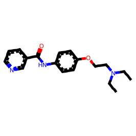 CCN(CC)CCOc1ccc(NC(=O)c2cccnc2)cc1